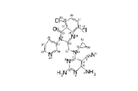 N#Cc1c(N)nc(N)nc1N(Cc1nc2c(Cl)ccc(Cl)c2c(=O)n1-c1cccnc1)C1CC1